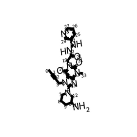 CC#CCn1c(N2CCCC(N)C2)nc2c1c(=O)n(CC(=O)NNc1cccnc1)c(=O)n2C